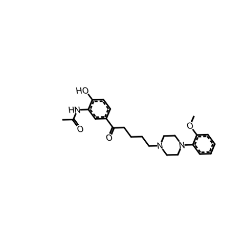 COc1ccccc1N1CCN(CCCCC(=O)c2ccc(O)c(NC(C)=O)c2)CC1